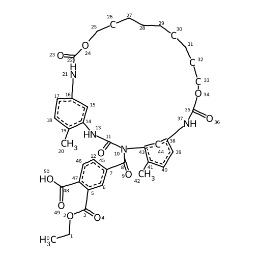 CCOC(=O)c1cc(C(=O)N2C(=O)Nc3cc(ccc3C)NC(=O)OCCCCCCCCCOC(=O)Nc3ccc(C)c2c3)ccc1C(=O)O